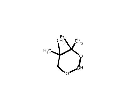 CCC1(C)OBOCC1(C)C